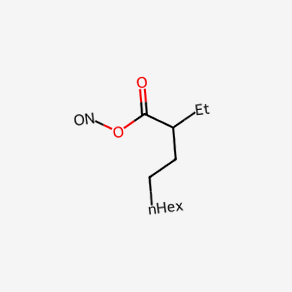 CCCCCCCCC(CC)C(=O)ON=O